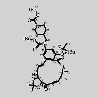 C[C@@H]1/C=C\C(=O)[C@H]2OC(C)(C)O[C@H]2C/C=C/c2cc(N(CC3CCN(C(=O)OC(C)(C)C)CC3)C(=O)OC(C)(C)C)cc(O[Si](C)(C)C(C)(C)C)c2C(=O)O[C@H]1C